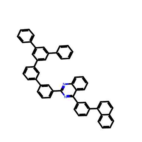 c1ccc(-c2cc(-c3ccccc3)cc(-c3cccc(-c4cccc(-c5nc(-c6cccc(-c7cccc8ccccc78)c6)c6ccccc6n5)c4)c3)c2)cc1